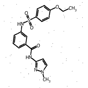 CCOc1ccc(S(=O)(=O)Nc2cccc(C(=O)Nc3ccn(C)n3)c2)cc1